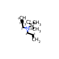 C#CCN(CC=C)[Si](C)(C)C